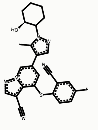 Cc1c(-c2cc(Sc3ccc(F)cc3C#N)c3c(C#N)cnn3c2)cnn1C1CCCC[C@@H]1O